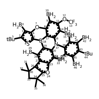 Bc1c(C(C)(C)C)sc2c1Oc1c(B)c(OC(F)(F)F)c(B)c3c1B2c1c(c(B)c2oc4c(c2c1B)C(C)(C)CC4(C)C)N3c1c(B)c(B)c(C(C)(C)C)c(B)c1B